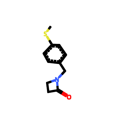 CSc1ccc(CN2CCC2=O)cc1